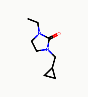 CCN1CCN(CC2CC2)C1=O